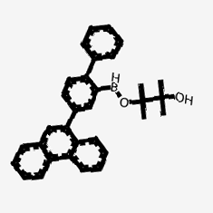 CC(C)(O)C(C)(C)OBc1cc(-c2cc3ccccc3c3ccccc23)ccc1-c1ccccc1